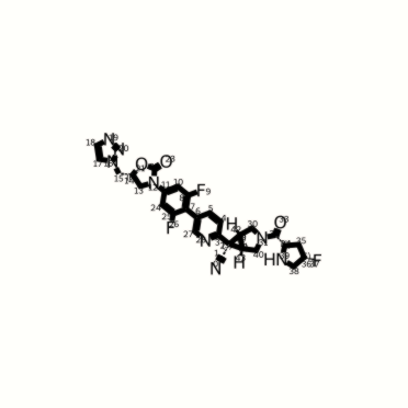 N#C[C@]1(c2ccc(-c3c(F)cc(N4C[C@H](Cn5ccnn5)OC4=O)cc3F)cn2)[C@@H]2CN(C(=O)[C@@H]3C[C@H](F)CN3)C[C@@H]21